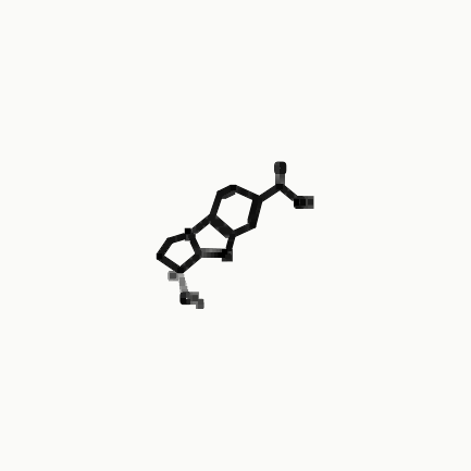 C[C@@H]1CCn2c1nc1cc(C(=O)O)ccc12